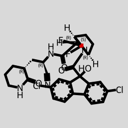 N#C[C@@H](C[C@H]1CCCNC1=O)NC(=O)[C@@H]1[C@H]2CC[C@H](CC2(F)F)N1C(=O)C1(O)c2cc(Cl)ccc2-c2ccc(Cl)cc21